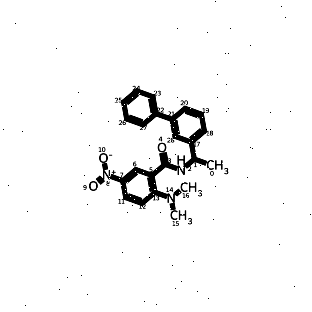 CC(NC(=O)c1cc([N+](=O)[O-])ccc1N(C)C)c1cccc(-c2ccccc2)c1